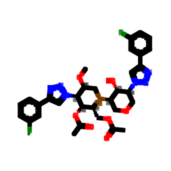 CO[C@H]1C[SH]([C@@H]2COC[C@H](n3cc(-c4cccc(F)c4)nn3)[C@H]2O)[C@H](COC(C)=O)[C@H](OC(C)=O)[C@H]1n1cc(-c2cccc(F)c2)nn1